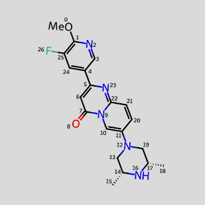 COc1ncc(-c2cc(=O)n3cc(N4C[C@@H](C)N[C@@H](C)C4)ccc3n2)cc1F